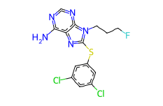 Nc1ncnc2c1nc(Sc1cc(Cl)cc(Cl)c1)n2CCCF